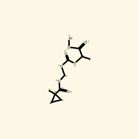 CC(C)OC(=O)C(C)SC(=O)OCOC(=O)C1(C)CC1